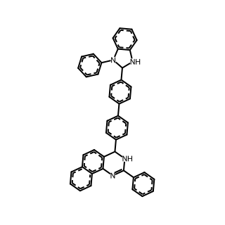 c1ccc(C2=Nc3c(ccc4ccccc34)C(c3ccc(-c4ccc(C5Nc6ccccc6N5c5ccccc5)cc4)cc3)N2)cc1